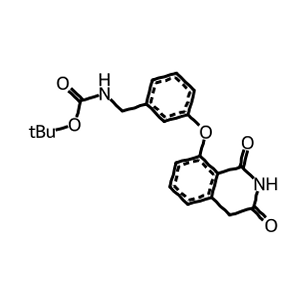 CC(C)(C)OC(=O)NCc1cccc(Oc2cccc3c2C(=O)NC(=O)C3)c1